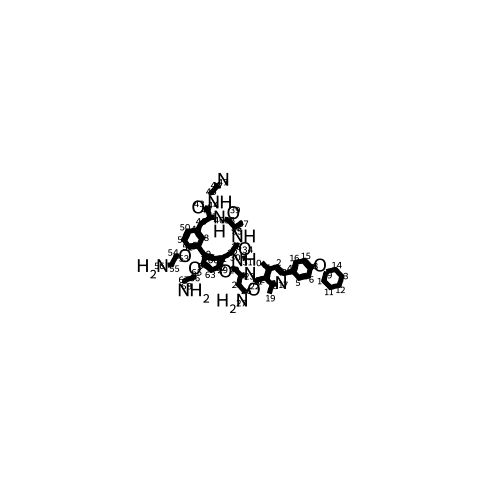 Cc1cc(-c2ccc(OC3CCCCC3)cc2)nc(C)c1C(=O)NC(CCN)C(=O)N(C)C1C(=O)NC(C)C(=O)NC(C(=O)NCC#N)Cc2ccc(OCCN)c(c2)-c2cc1ccc2OCCN